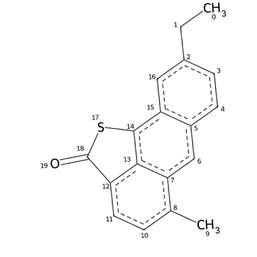 CCc1ccc2cc3c(C)ccc4c3c(c2c1)SC4=O